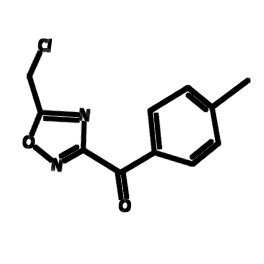 Cc1ccc(C(=O)c2noc(CCl)n2)cc1